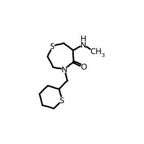 CNC1CSCCN(CC2CCCCS2)C1=O